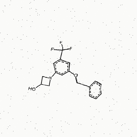 OC1CN(c2cc(OCc3ccccc3)cc(C(F)(F)F)c2)C1